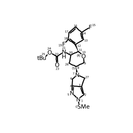 CSn1cc2c(n1)CN([C@@H]1CO[C@H](c3cc(F)ccc3F)C(NC(=O)OC(C)(C)C)C1)C2